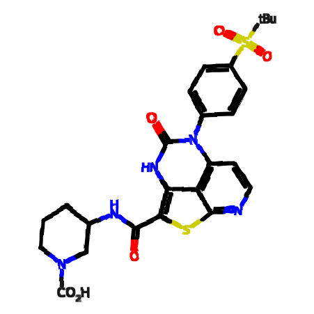 CC(C)(C)S(=O)(=O)c1ccc(N2C(=O)Nc3c(C(=O)NC4CCCN(C(=O)O)C4)sc4nccc2c34)cc1